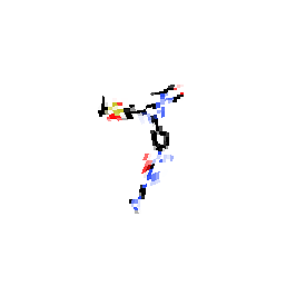 C=C(C)S(=O)(=O)C(C)(C)c1cc(N2CCOC[C@@H]2C)nc(-c2ccc(NC(=O)NCCN(C)C)cc2)n1